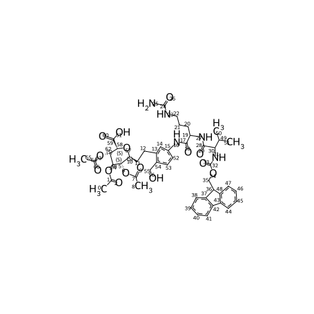 CC(=O)O[C@@H]1[C@@H](OC(C)=O)[C@H](CCc2cc(NC(=O)C(CCCNC(N)=O)NC(=O)C(NC(=O)OCC3c4ccccc4-c4ccccc43)C(C)C)ccc2CO)O[C@H](C(=O)O)[C@H]1OC(C)=O